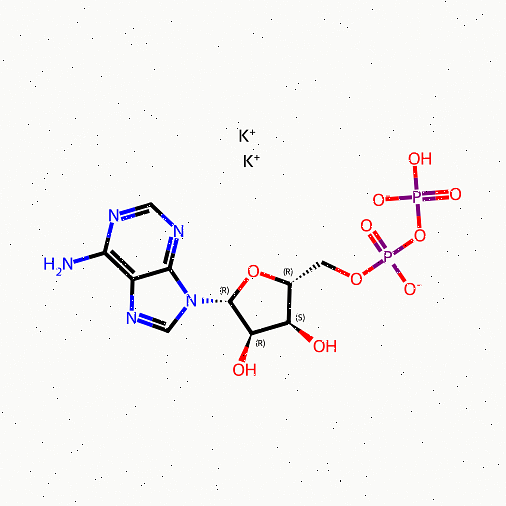 Nc1ncnc2c1ncn2[C@@H]1O[C@H](COP(=O)([O-])OP(=O)([O-])O)[C@@H](O)[C@H]1O.[K+].[K+]